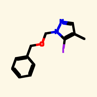 Cc1cnn(COCc2ccccc2)c1I